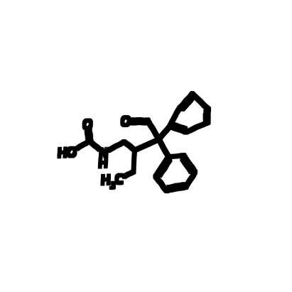 CCC(CNC(=O)O)C(C=O)(c1ccccc1)c1ccccc1